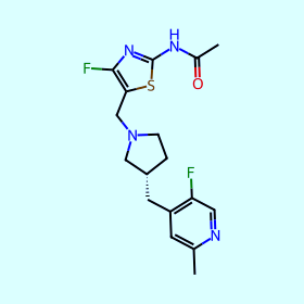 CC(=O)Nc1nc(F)c(CN2CC[C@H](Cc3cc(C)ncc3F)C2)s1